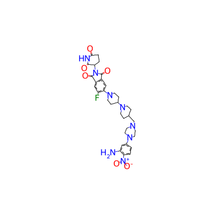 Nc1cc(N2CCN(CC3CCN(C4CCN(c5cc6c(cc5F)C(=O)N(C5CCC(=O)NC5=O)C6=O)CC4)CC3)CC2)ccc1[N+](=O)[O-]